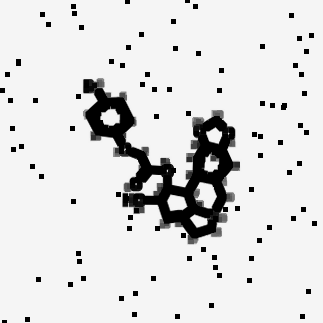 O=C(COc1ccc(Br)cc1)OC1C(O)C=C2CCN3Cc4cc5c(cc4C1C23)OCO5